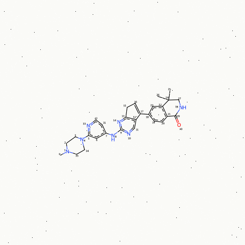 CN1CCN(c2cc(Nc3ncc4c(n3)CC=C4c3ccc4c(c3)C(C)(C)CNC4=O)ccn2)CC1